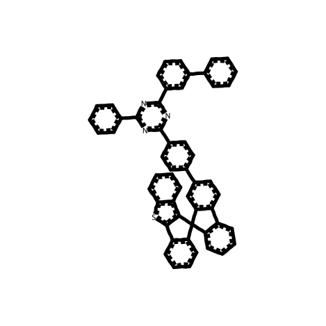 c1ccc(-c2cccc(-c3nc(-c4ccccc4)nc(-c4ccc(-c5ccc6c(c5)C5(c7ccccc7-6)c6ccccc6-c6sc7ccccc7c65)cc4)n3)c2)cc1